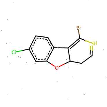 Clc1ccc2c(c1)OC1CC=[SH]C(Br)=C21